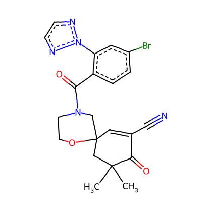 CC1(C)CC2(C=C(C#N)C1=O)CN(C(=O)c1ccc(Br)cc1-n1nccn1)CCO2